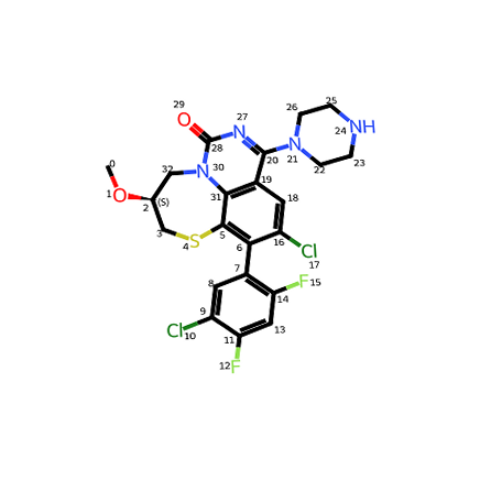 CO[C@@H]1CSc2c(-c3cc(Cl)c(F)cc3F)c(Cl)cc3c(N4CCNCC4)nc(=O)n(c23)C1